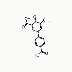 Cc1cn(-c2ccc(C(=O)O)cc2)nc(C(=O)O)c1=O